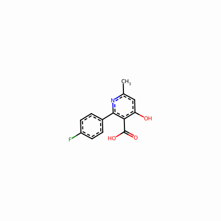 Cc1cc(O)c(C(=O)O)c(-c2ccc(F)cc2)n1